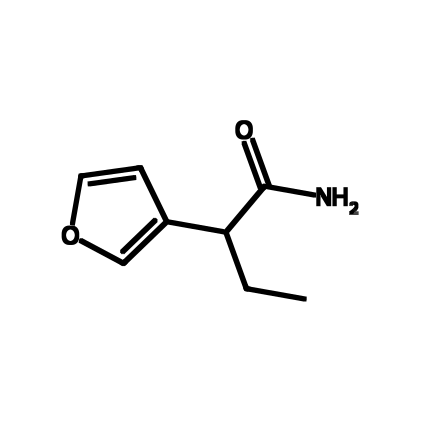 CCC(C(N)=O)c1ccoc1